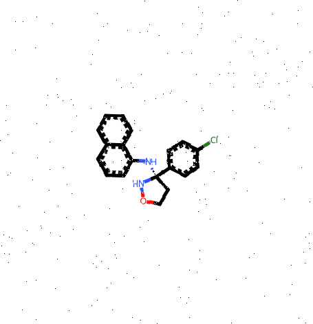 Clc1ccc([C@@]2(Nc3cccc4ccccc34)CCON2)cc1